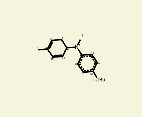 CC1=CCC(N(I)c2ccc(C(C)(C)C)cc2)C=C1